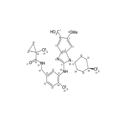 COc1cc2c(cc1C(=O)O)nc(Nc1cc(CNC(=O)C3(C(F)(F)F)CC3)ccc1C(F)(F)F)n2[C@H]1CC[C@H](C(F)(F)F)CC1